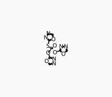 O=P(Oc1nnco1)(Oc1nnco1)Sc1nnco1